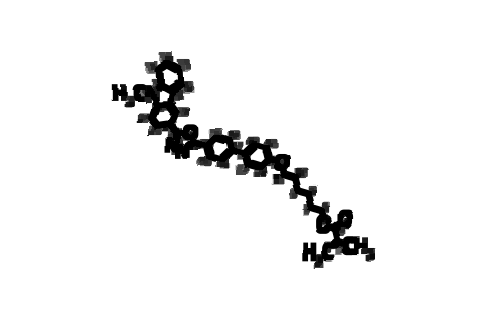 C=C(C)C(=O)OCCCCCCOc1ccc(-c2ccc(-c3nnc(-c4ccc5c(c4)c4ccccc4n5C)o3)cc2)cc1